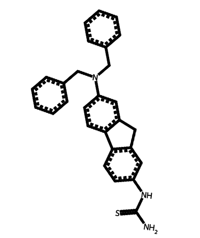 NC(=S)Nc1ccc2c(c1)Cc1cc(N(Cc3ccccc3)Cc3ccccc3)ccc1-2